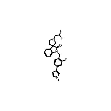 Cn1ccc(-c2ccc(CN3C(=O)C4(CCN(CC(F)F)C4)c4ccccc43)c(F)c2)c1